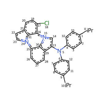 CC(C)c1ccc(N(c2ccc(C(C)C)cc2)c2cn3c4c(Cl)ccc5ccn(c6cccc2c63)c54)cc1